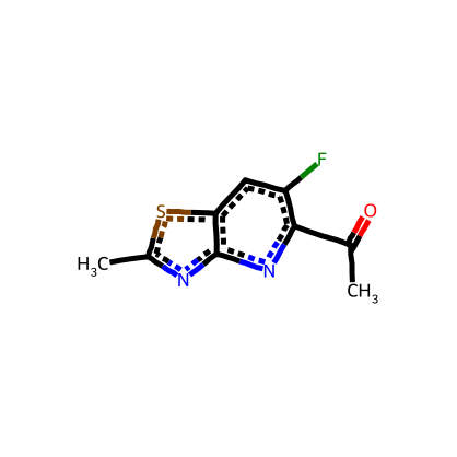 CC(=O)c1nc2nc(C)sc2cc1F